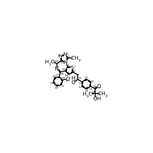 Cc1nnc2n1-c1sc(CC(O)c3ccc(C(=O)C(C)(C)O)cc3)cc1C(c1ccccc1Cl)=NC2C